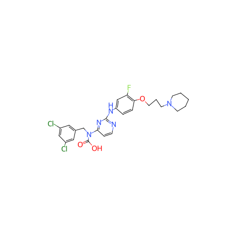 O=C(O)N(Cc1cc(Cl)cc(Cl)c1)c1ccnc(Nc2ccc(OCCCN3CCCCC3)c(F)c2)n1